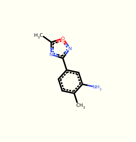 Cc1nc(-c2ccc(C)c(N)c2)no1